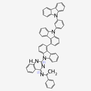 C=C(/N=C(\N=C(/N)n1c2ccccc2c2c(-c3cccc4c3c3ccccc3n4-c3cccc(-n4c5ccccc5c5ccccc54)c3)cccc21)c1ccccc1)c1ccccc1